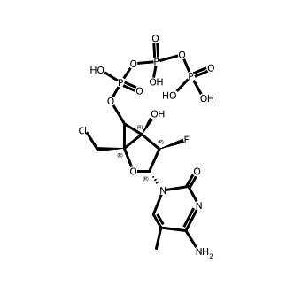 Cc1cn([C@@H]2O[C@]3(CCl)C(OP(=O)(O)OP(=O)(O)OP(=O)(O)O)[C@]3(O)[C@H]2F)c(=O)nc1N